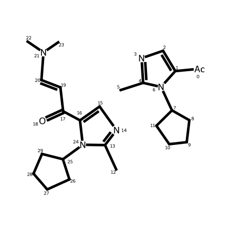 CC(=O)c1cnc(C)n1C1CCCC1.Cc1ncc(C(=O)C=CN(C)C)n1C1CCCC1